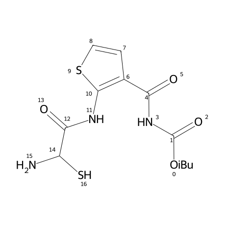 CC(C)COC(=O)NC(=O)c1ccsc1NC(=O)C(N)S